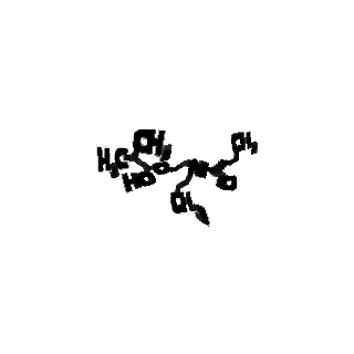 C=CCC(=O)N(CCC)CCOC(O)C(C)C